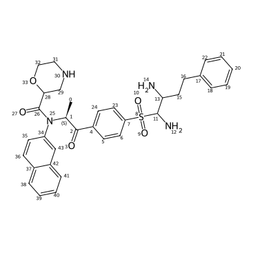 C[C@@H](C(=O)c1ccc(S(=O)(=O)C(N)C(N)CCc2ccccc2)cc1)N(C(=O)C1CNCCO1)c1ccc2ccccc2c1